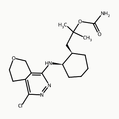 CC(C)(C[C@H]1CCCC[C@H]1Nc1nnc(Cl)c2c1COCC2)OC(N)=O